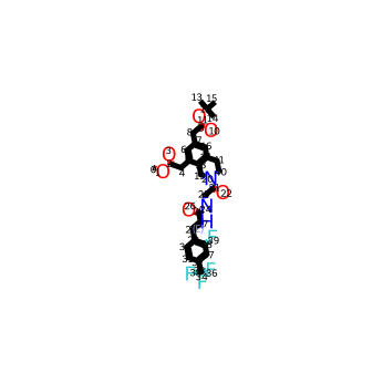 COC(=O)Cc1cc(CC(=O)OC(C)(C)C)cc2c1CN(C(=O)CNC(=O)/C=C/c1ccc(C(F)(F)F)cc1F)CC2